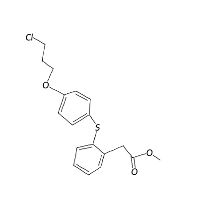 COC(=O)Cc1ccccc1Sc1ccc(OCCCCl)cc1